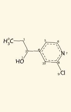 CCC(O)c1ccnc(Cl)c1